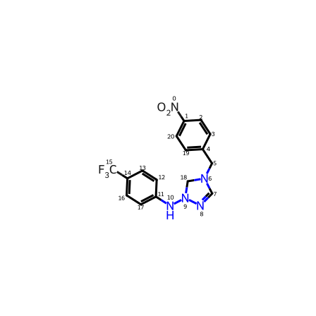 O=[N+]([O-])c1ccc(CN2C=NN(Nc3ccc(C(F)(F)F)cc3)C2)cc1